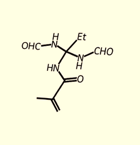 C=C(C)C(=O)NC(CC)(NC=O)NC=O